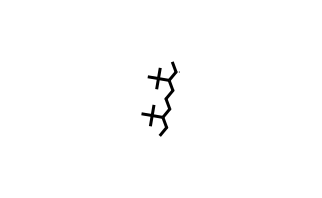 C[CH]C(CCCC(CC)C(C)(C)C)C(C)(C)C